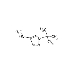 CNc1cnn(C(C)(C)C)c1